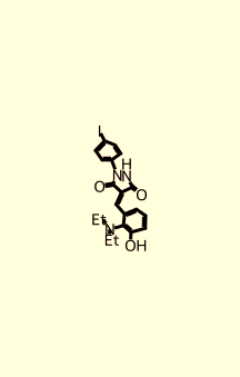 CCN(CC)c1c(O)cccc1/C=C1\C(=O)NN(c2ccc(I)cc2)C1=O